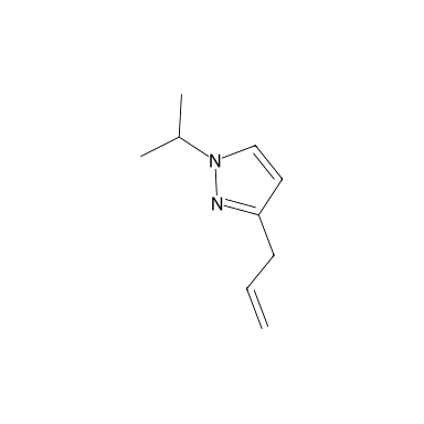 C=CCc1ccn(C(C)C)n1